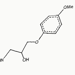 COc1ccc(OCC(O)C[NH])cc1